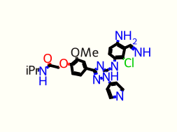 COc1cc(-c2nc(Nc3ccc(N)c(C=N)c3Cl)n(-c3ccncc3)n2)ccc1OCC(=O)NC(C)C